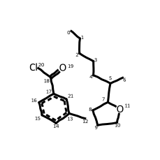 CCCCCC(C)C1CCCO1.Cc1cccc(C(=O)Cl)c1